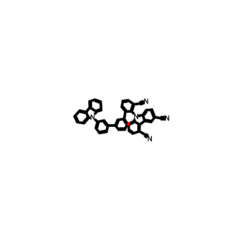 N#Cc1ccc2c(c1)c1c(C#N)cccc1n2-c1c(C#N)cccc1-c1cccc(-c2cccc(-n3c4ccccc4c4ccccc43)c2)c1